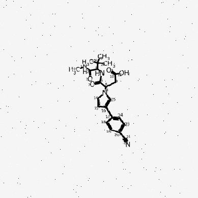 CNC(=O)C(NC(=O)C(CC(=O)O)n1ccc(-c2ccc(C#N)cc2)c1)C(C)(C)C